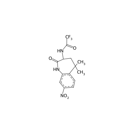 CC1(C)CC(NC(=O)C(F)(F)F)C(=O)Nc2cc([N+](=O)[O-])ccc21